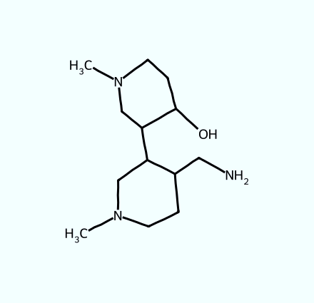 CN1CCC(O)C(C2CN(C)CCC2CN)C1